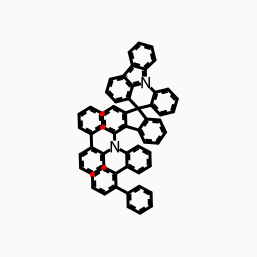 c1ccc(-c2ccccc2-c2ccccc2N(c2ccccc2-c2ccccc2)c2cccc3c2-c2ccccc2C32c3ccccc3-n3c4ccccc4c4cccc2c43)cc1